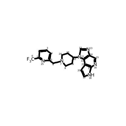 FC(F)(F)c1cccc(CN2CCC(n3cnc4cnc5[nH]ccc5c43)CC2)n1